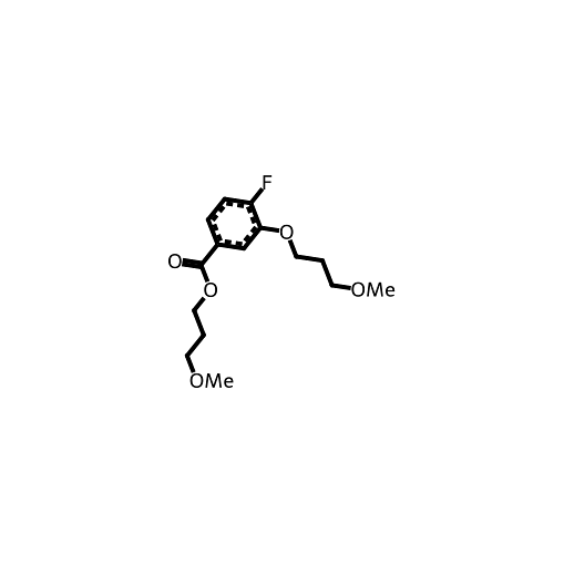 COCCCOC(=O)c1ccc(F)c(OCCCOC)c1